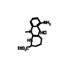 CCOC(=O)C1CCCC2=C(N1)N(C)c1cccc(N)c1C2.Cl